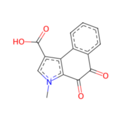 Cn1cc(C(=O)O)c2c1C(=O)C(=O)c1ccccc1-2